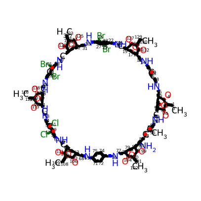 C/C=C1/C(=O)c2c[nH]c3ccc(cc3)[nH]cc3c(=O)c(c[nH]c4cc(Br)c(cc4Br)[nH]cc4c(=O)c(c[nH]c5cc(Br)c(cc5Br)[nH]cc5c(=O)c(c[nH]c6cc(Cl)c(cc6Cl)[nH]cc6c(=O)c(c[nH]c7ccc(cc7)[nH]cc7c(=O)c(c(N)c8ccc([nH]cc(c2=O)C1=O)c(C)c8)C(=O)/C(=C/C)C7=O)C(=O)/C(=C/C)C6=O)C(=O)/C(=C/C)C5=O)C(=O)/C(=C/C)C4=O)C(=O)/C(=C/C)C3=O